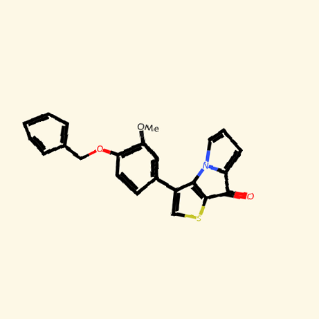 COc1cc(-c2csc3c2-n2cccc2C3=O)ccc1OCc1ccccc1